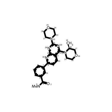 CNC(=O)c1cccc(-c2ccc3c(N4CCOC[C@@H]4C)nc(N4CCOCC4)nc3n2)c1